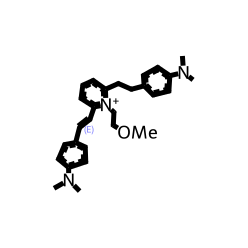 COCC[n+]1c(/C=C/c2ccc(N(C)C)cc2)cccc1CCc1ccc(N(C)C)cc1